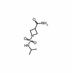 CC(C)NS(=O)(=O)N1CC(C(N)=O)C1